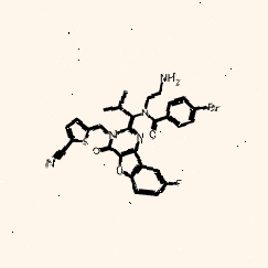 CC(C)C(c1nc2c(oc3ccc(F)cc32)c(=O)n1Cc1ccc(C#N)s1)N(CCN)C(=O)c1ccc(Br)cc1